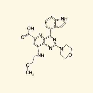 COCCNc1cc(C(=O)O)nc2c(-c3cccc4[nH]ccc34)nc(N3CCOCC3)nc12